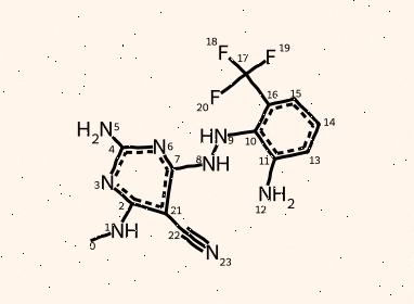 CNc1nc(N)nc(NNc2c(N)cccc2C(F)(F)F)c1C#N